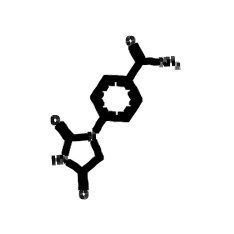 NC(=O)c1ccc(N2CC(=O)NC2=O)cc1